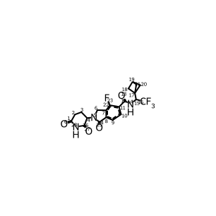 O=C1CCC(N2Cc3c(ccc(C(=O)NC(C(F)(F)F)C45CC(C4)C5)c3F)C2=O)C(=O)N1